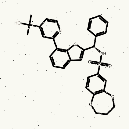 CC(C)(O)c1ccnc(-c2cccc3cc([C@H](NS(=O)(=O)c4ccc5c(c4)OCCCO5)c4ccccc4)sc23)c1